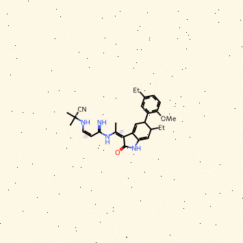 CCc1ccc(OC)c(C2C=C3C(=CC2CC)NC(=O)/C3=C(/C)NC(=N)/C=C\NC(C)(C)C#N)c1